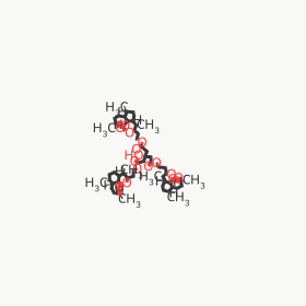 C[C@@H]1CC[C@H]2[C@@H](C)C(CCOC(=O)CC(O)(CC(=O)OCCC3O[C@@H]4C[C@@]5(C)CC[C@H]6[C@H](C)CC[C@@H]([C@H]3C)[C@@]46OO5)CC(=O)OCCC3O[C@@H]4C[C@@]5(C)CC[C@H]6[C@H](C)CC[C@@H]([C@H]3C)[C@@]46OO5)OC[C@@H]3C[C@@]4(C)CC[C@@H]1[C@]32OO4